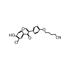 N#CCCCCOc1ccc(-c2coc3cc(O)c(Cl)cc3c2=O)cc1